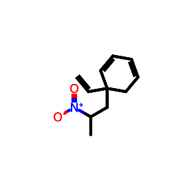 C=CC1(CC(C)[N+](=O)[O-])C=CC=CC1